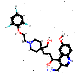 COc1ccc2ncc(CN)c(C(O)CCC3(CO)CCN(CCOc4c(F)cc(F)cc4F)CC3)c2c1